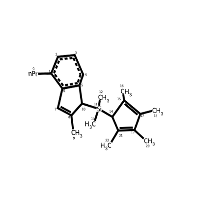 CCCc1cccc2c1C=C(C)C2[Si](C)(C)C1C(C)=C(C)C(C)=C1C